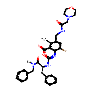 CCN(Cc1ccccc1)C(=O)[C@H](Cc1ccccc1)Nc1nc2c(Br)cc(CNC(=O)CN3CCOCC3)c(C)c2c(=O)o1